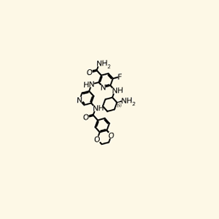 NC(=O)c1cc(F)c(NC2CCCC[C@@H]2N)nc1Nc1cncc(NC(=O)c2ccc3c(c2)OCCO3)c1